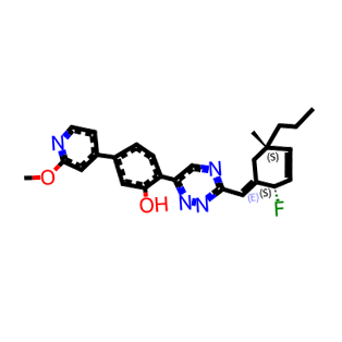 CCC[C@]1(C)C=C[C@H](F)/C(=C/c2ncc(-c3ccc(-c4ccnc(OC)c4)cc3O)nn2)C1